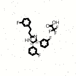 Fc1cccc(CCC2=N[C@H](c3cccc(F)c3)[C@H](c3cccc(F)c3)N2)c1.O=C(O)C(F)(F)F